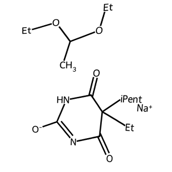 CCCC(C)C1(CC)C(=O)N=C([O-])NC1=O.CCOC(C)OCC.[Na+]